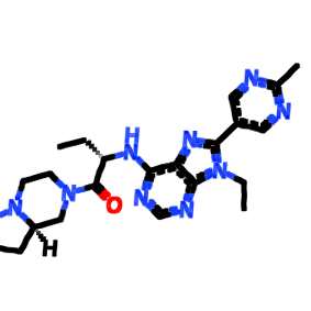 CC[C@H](Nc1ncnc2c1nc(-c1cnc(C)nc1)n2CC)C(=O)N1CCN2CCC[C@@H]2C1